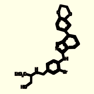 CCOC(=O)C(CO)NCc1ccc(Nc2nsc3c(-c4ccc5c(c4)OCCO5)cccc23)c(Br)c1